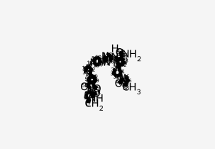 C=C1CC[C@@H](N2C(=O)c3ccc(N4CC[C@H](CN5CCN(c6ncc(Nc7nc(N8CCC[C@@H](N9CCN(C)C9=O)C8)cnc7C(N)=O)cn6)CC5)C4)cc3C2=O)C(=O)N1